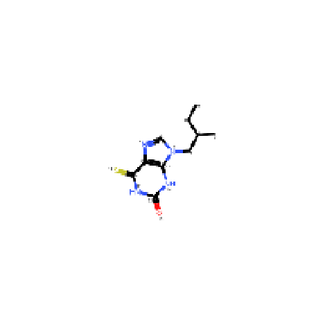 CCC(C)Cn1cnc2c(=S)[nH]c(=O)[nH]c21